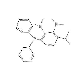 CN(C)c1ccc(P(c2ccccc2)c2ccccc2)c(N(C)C)c1N(C)C